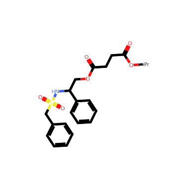 CC(C)OC(=O)CCC(=O)OCC(NS(=O)(=O)Cc1ccccc1)c1ccccc1